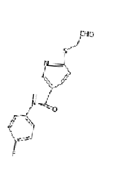 O=CCSc1ccc(C(=O)Nc2ccc(F)cc2)cn1